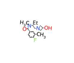 CCC(CN1CC(O)C1)N(C)C(=O)c1ccc(F)c(C)c1